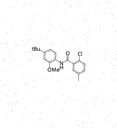 COc1cc(C(C)(C)C)ccc1NC(=O)c1cc(C)ccc1Cl